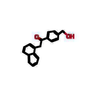 O=C(Cc1cccc2ccccc12)c1ccc(CO)cc1